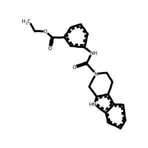 CCOC(=O)c1cccc(NC(=O)N2CCc3c([nH]c4ccccc34)C2)c1